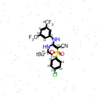 C[C@@H](N/C(Nc1cc(C(F)(F)F)cc(C(F)(F)F)c1)=C(/C#N)S(=O)(=O)c1ccc(Cl)cc1)C(C)(C)C